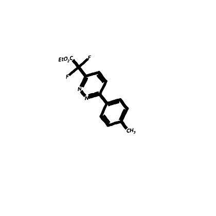 CCOC(=O)C(F)(F)c1ccc(-c2ccc(C)cc2)nn1